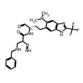 CN(C)c1cc2nc(C(F)(F)F)[nH]c2cc1CC[C@@H](C=O)NC(=O)C(CNCc1ccccc1)N=N